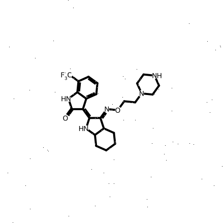 O=C1Nc2c(cccc2C(F)(F)F)/C1=C1/NC2CCCCC2/C1=N\OCCN1CCNCC1